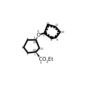 CCOC(=O)[C@H]1CCC[C@H](Oc2ccccc2)C1